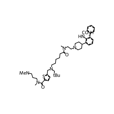 CNCCCN(C)C(=O)c1ccc(CN(CCCCCC(=O)N(C)CCN2CCC(c3cccc(-c4ccccc4)c3NC(=O)O)CC2)CC(C)(C)C)s1